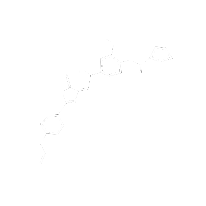 C=CNc1ccc(C2=N/C(=C/C(C)c3ccc(OC(=O)c4cccs4)c(OCC)c3)C(=O)O2)cc1